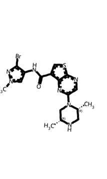 C[C@@H]1CN(c2cnc3scc(C(=O)Nc4cn(C)nc4Br)c3n2)[C@H](C)CN1